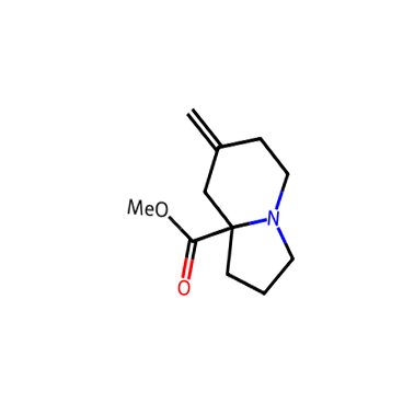 C=C1CCN2CCCC2(C(=O)OC)C1